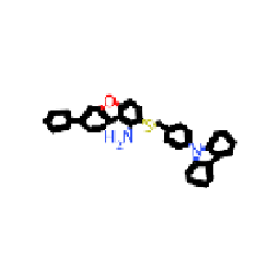 Nc1c(SCc2ccc(-n3c4ccccc4c4ccccc43)cc2)ccc2oc3cc(-c4ccccc4)ccc3c12